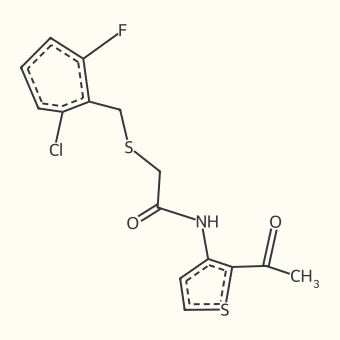 CC(=O)c1sccc1NC(=O)CSCc1c(F)cccc1Cl